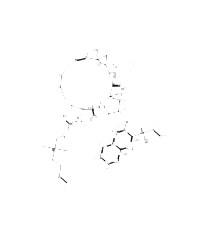 C=CCCC(C)(C)COC(=O)N[C@H]1CCCCC/C=C\[C@@H]2C[C@@]2(C(=O)OCC)NC(=O)[C@@H]2C[C@@H](Oc3nc4ccccc4nc3C(F)(F)C=C)CN2C1=O